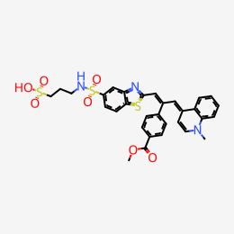 COC(=O)c1ccc(C(=C\c2nc3cc(S(=O)(=O)NCCCS(=O)(=O)O)ccc3s2)/C=C2\C=CN(C)c3ccccc32)cc1